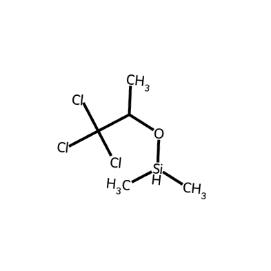 CC(O[SiH](C)C)C(Cl)(Cl)Cl